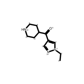 CCn1cc(C(=O)C2CCNCC2)cn1